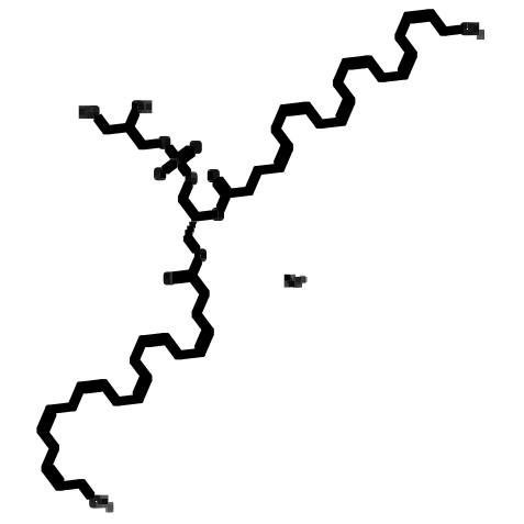 CC/C=C\C/C=C\C/C=C\C/C=C\C/C=C\C/C=C\CCC(=O)OC[C@H](COP(=O)([O-])OCC(O)CO)OC(=O)CC/C=C\C/C=C\C/C=C\C/C=C\C/C=C\C/C=C\CC.[Na+]